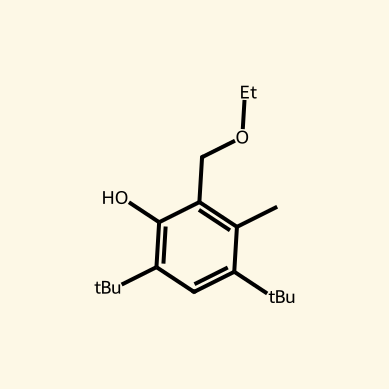 CCOCc1c(C)c(C(C)(C)C)cc(C(C)(C)C)c1O